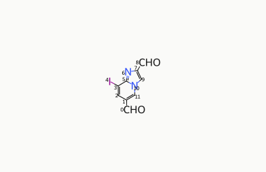 O=Cc1cc(I)c2nc(C=O)cn2c1